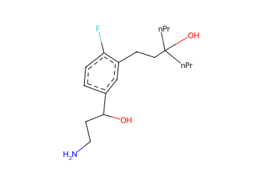 CCCC(O)(CCC)CCc1cc(C(O)CCN)ccc1F